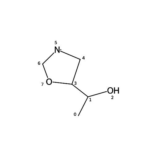 CC(O)C1C[N]CO1